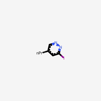 CCCc1cnnc(I)c1